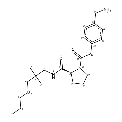 CCCOCC(C)(C)CNC(=O)[C@@H]1CCCN1C(=O)Cc1ccc(CN)cc1